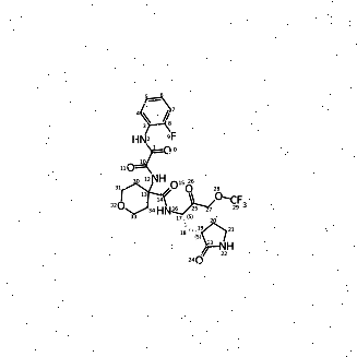 O=C(Nc1ccccc1F)C(=O)NC1(C(=O)N[C@@H](C[C@@H]2CCNC2=O)C(=O)COC(F)(F)F)CCOCC1